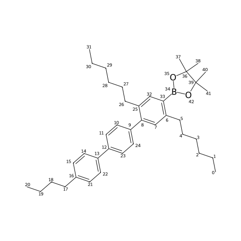 CCCCCCc1cc(-c2ccc(-c3ccc(CCCC)cc3)cc2)c(CCCCCC)cc1B1OC(C)(C)C(C)(C)O1